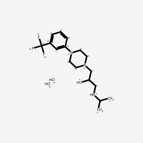 CC(C)NCC(O)CN1CCN(c2cccc(C(F)(F)F)c2)CC1.Cl.Cl